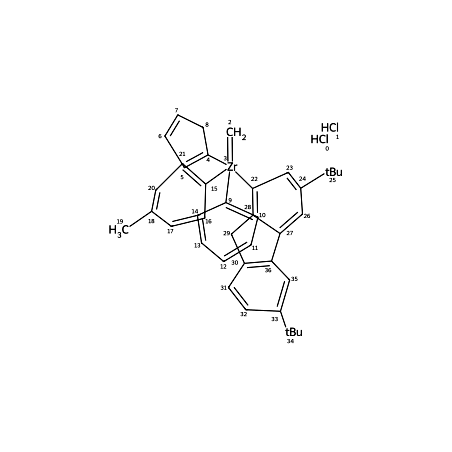 Cl.Cl.[CH2]=[Zr]([C]1=CC=CC1)([c]1ccccc1)([c]1ccc(C)cc1)[c]1cc(C(C)(C)C)cc2c1Cc1ccc(C(C)(C)C)cc1-2